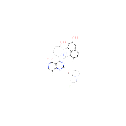 CCc1c(F)ccc2cc(O)cc(C3NC(c4nc(OC[C@@]56CCCN5C[C@H](F)C6)nc5c(F)cncc45)C(O)CCC3O)c12